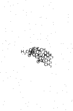 CNC(=O)C(CCC[C@@H](C(=O)OCC(C)C)N(C(=O)OC(C)(C)C)C(=O)OC(C)(C)C)OC(C)=O